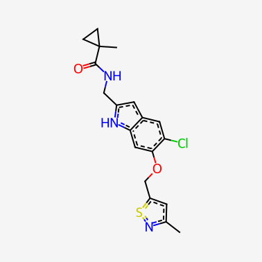 Cc1cc(COc2cc3[nH]c(CNC(=O)C4(C)CC4)cc3cc2Cl)sn1